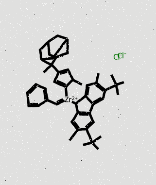 Cc1cc2c(cc1C(C)(C)C)-c1cc(C(C)(C)C)c(C)cc1[CH]2/[Zr+2](=[CH]/c1ccccc1)[C]1=CC(C2(C)C3CC4CC(C3)CC2C4)=CC1C.[Cl-].[Cl-]